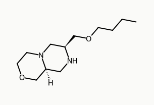 CCCCOC[C@@H]1CN2CCOC[C@@H]2CN1